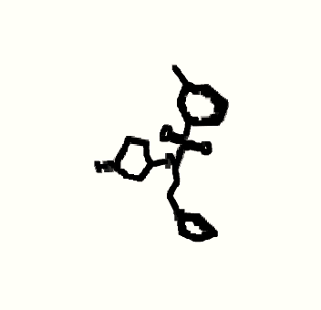 Cc1cccc(S(=O)(=O)N(CCn2cccc2)C2CCNCC2)c1